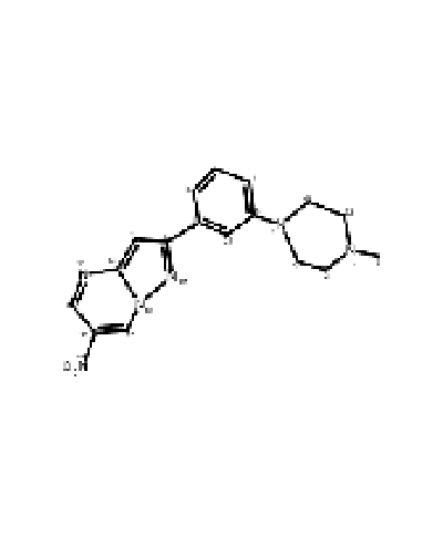 CN1CCN(c2cccc(-c3cc4ncc([N+](=O)[O-])cn4n3)c2)CC1